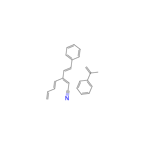 C=C(C)c1ccccc1.C=CC=CC(C=Cc1ccccc1)=CC#N